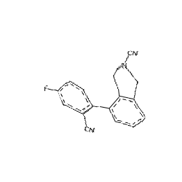 N#Cc1cc(F)ccc1-c1cccc2c1CN(C#N)C2